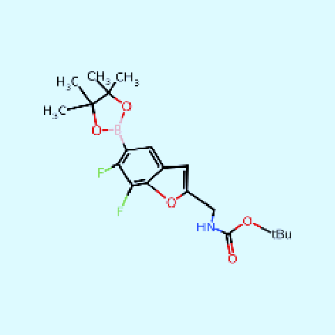 CC(C)(C)OC(=O)NCc1cc2cc(B3OC(C)(C)C(C)(C)O3)c(F)c(F)c2o1